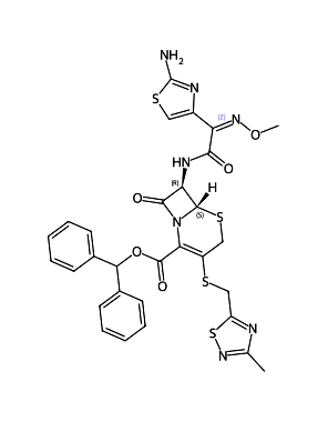 CO/N=C(\C(=O)N[C@@H]1C(=O)N2C(C(=O)OC(c3ccccc3)c3ccccc3)=C(SCc3nc(C)ns3)CS[C@@H]12)c1csc(N)n1